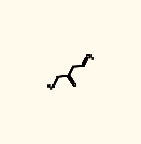 C=CCC(=O)[CH]N